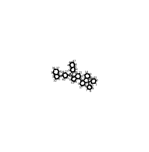 c1ccc(C2(c3ccccc3)c3ccccc3-c3c(-c4cccc5c(N(c6ccc(-c7cccc8ccccc78)cc6)c6ccc7ccccc7c6)cccc45)cccc32)cc1